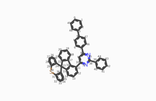 c1ccc(-c2ccc(-c3cc(-c4cccc5c4-c4ccccc4C54c5ccccc5Sc5ccccc54)nc(-c4ccccc4)n3)cc2)cc1